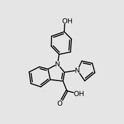 O=C(O)c1c(-n2cccc2)n(-c2ccc(O)cc2)c2ccccc12